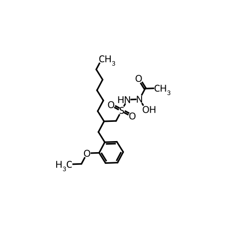 CCCCCCC(Cc1ccccc1OCC)CS(=O)(=O)NN(O)C(C)=O